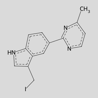 Cc1ccnc(-c2ccc3[nH]cc(CI)c3c2)n1